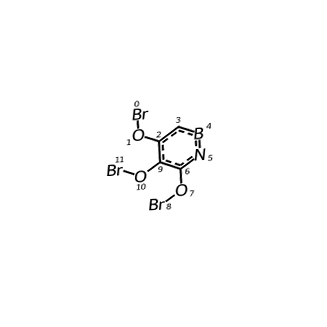 BrOc1cbnc(OBr)c1OBr